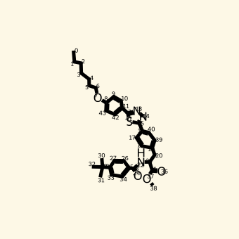 CCCCCCCOc1ccc(-c2nnc(-c3ccc(CC(NC(=O)c4ccc(C(C)(C)C)cc4)C(=O)OC)cc3)s2)cc1